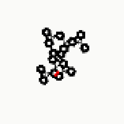 c1ccc(-n2c3ccccc3c3cc4c(cc32)c2cc3ccccc3cc2n4-c2cccc(-n3c4ccccc4c4ccc(-c5ccc6c(ccc7c6c6ccc8c9ccccc9n(-c9ccccc9)c8c6n7-c6cccc(-n7c8ccccc8c8ccccc87)c6)c5)cc43)c2)cc1